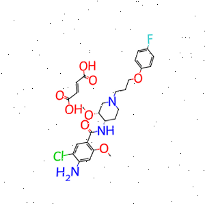 COc1cc(N)c(Cl)cc1C(=O)N[C@H]1CCN(CCCOc2ccc(F)cc2)C[C@H]1OC.O=C(O)C=CC(=O)O